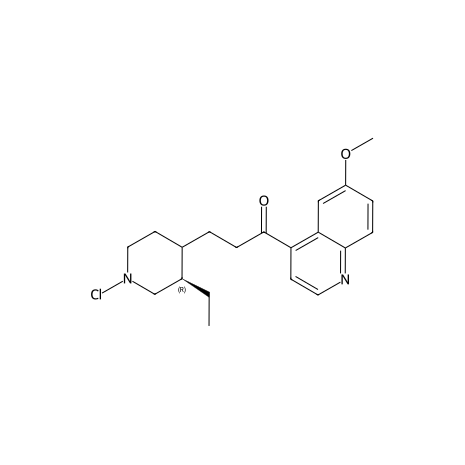 CC[C@H]1CN(Cl)CCC1CCC(=O)c1ccnc2ccc(OC)cc12